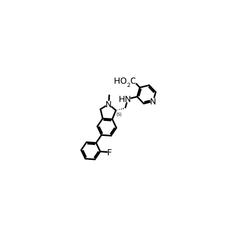 CN1Cc2cc(-c3ccccc3F)ccc2[C@H]1CNc1cnccc1C(=O)O